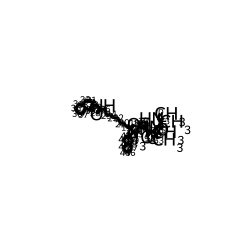 CN[C@@H](C)C(=O)N[C@H](C(=O)N1CCC[C@H]1CN(C(=O)CCCCCCCCC(=O)Nc1ccc2ccccc2c1)c1ccc2ccccc2c1)C(C)(C)C